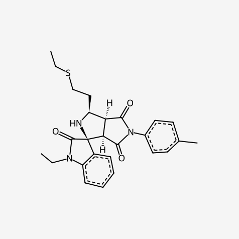 CCSCC[C@@H]1N[C@@]2(C(=O)N(CC)c3ccccc32)[C@@H]2C(=O)N(c3ccc(C)cc3)C(=O)[C@H]12